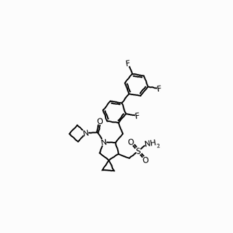 NS(=O)(=O)CC1C(Cc2cccc(-c3cc(F)cc(F)c3)c2F)N(C(=O)N2CCC2)CC12CC2